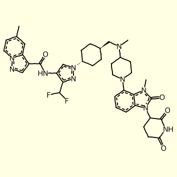 Cc1ccn2ncc(C(=O)Nc3cn([C@H]4CC[C@H](CN(C)C5CCN(c6cccc7c6n(C)c(=O)n7C6CCC(=O)NC6=O)CC5)CC4)nc3C(F)F)c2c1